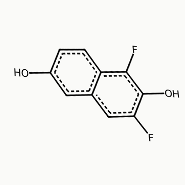 Oc1ccc2c(F)c(O)c(F)cc2c1